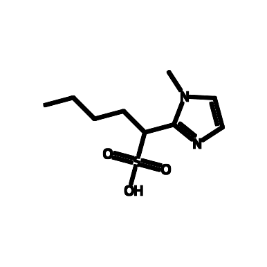 CCCCC(c1nccn1C)S(=O)(=O)O